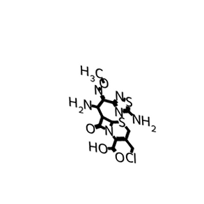 CO/N=C(\c1nsc(N)n1)C(N)C1C(=O)N2C(C(=O)O)=C(CCl)CSC12